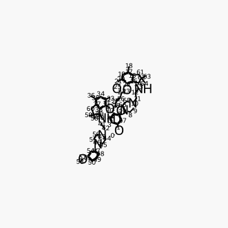 COc1cccc(N2CCN(CCNC3c4c(c(C)cc(C)c4OC(=O)/C=C/C(=O)Oc4c(C)cc(C)c5c4C(NCCN4CCN(c6cccc(OC)c6)CC4)C(C)(C)C5)CC3(C)C)CC2)c1